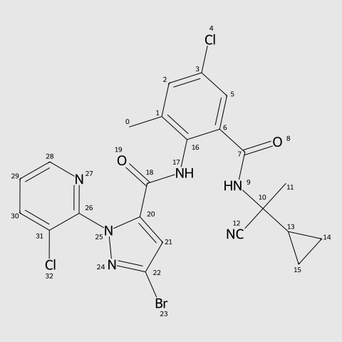 Cc1cc(Cl)cc(C(=O)NC(C)(C#N)C2CC2)c1NC(=O)c1cc(Br)nn1-c1ncccc1Cl